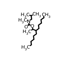 CCCCCCC(CCCCCC)C(C)OC(=O)N(C)CC(C)C